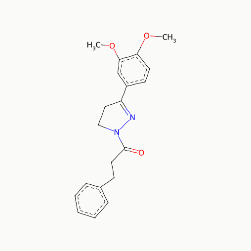 COc1ccc(C2=NN(C(=O)CCc3ccccc3)CC2)cc1OC